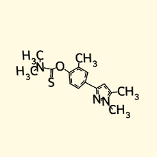 Cc1cc(-c2cc(C)n(C)n2)ccc1OC(=S)N(C)C